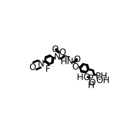 O=C(NC[C@H]1CN(c2ccc(N3CCOCC3)c(F)c2)C(=O)O1)Oc1ccc(CC(PO)[PH](=O)O)cc1